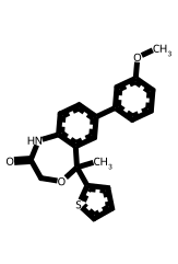 COc1cccc(-c2ccc3c(c2)C(C)(c2cccs2)OCC(=O)N3)c1